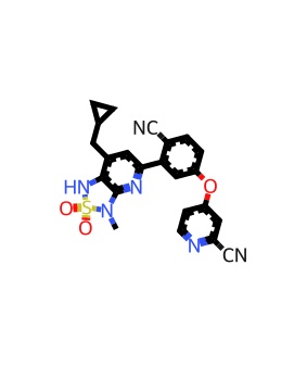 CN1c2nc(-c3cc(Oc4ccnc(C#N)c4)ccc3C#N)cc(CC3CC3)c2NS1(=O)=O